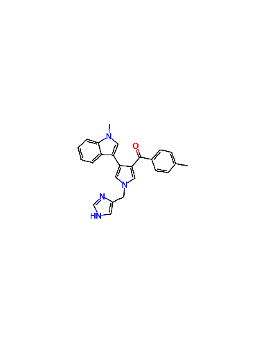 Cc1ccc(C(=O)c2cn(Cc3c[nH]cn3)cc2-c2cn(C)c3ccccc23)cc1